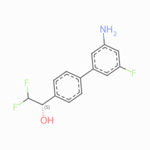 Nc1cc(F)cc(-c2ccc([C@H](O)C(F)F)cc2)c1